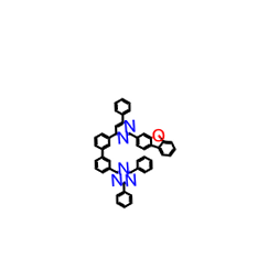 c1ccc(-c2cc(-c3cccc(-c4cccc(-c5nc(-c6ccccc6)nc(-c6ccccc6)n5)c4)c3)nc(-c3ccc4c(c3)oc3ccccc34)n2)cc1